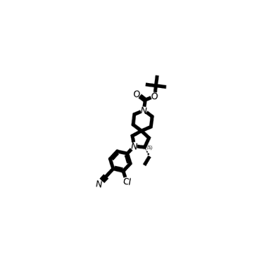 CC[C@H]1CC2(CCN(C(=O)OC(C)(C)C)CC2)CN1c1ccc(C#N)c(Cl)c1